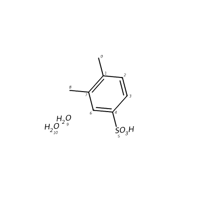 Cc1ccc(S(=O)(=O)O)cc1C.O.O